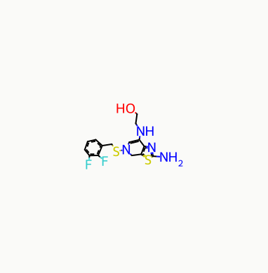 Nc1nc2c(s1)CN(SCc1cccc(F)c1F)C=C2NCCO